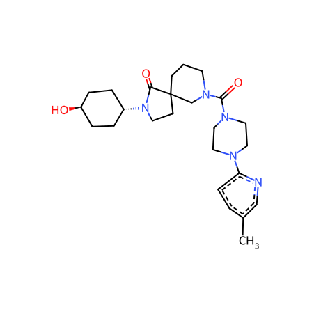 Cc1ccc(N2CCN(C(=O)N3CCCC4(CCN([C@H]5CC[C@H](O)CC5)C4=O)C3)CC2)nc1